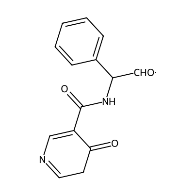 O=[C]C(NC(=O)C1=CN=CCC1=O)c1ccccc1